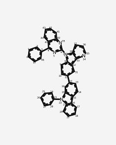 c1ccc(-c2nc(-n3c4ccc(-c5ccc6c7ccccc7n(-c7ccccc7)c6c5)cc4c4ncccc43)nc3ccccc23)cc1